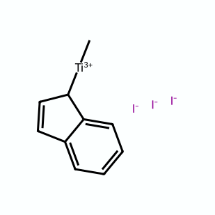 [CH3][Ti+3][CH]1C=Cc2ccccc21.[I-].[I-].[I-]